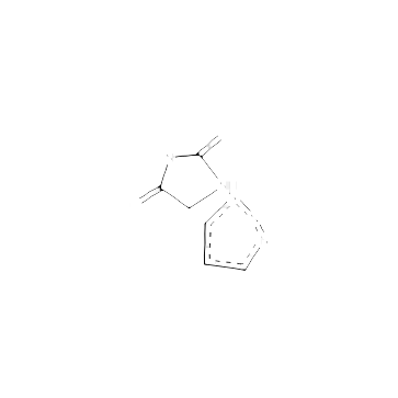 O=C1CNC(=O)N1.c1cnnnc1